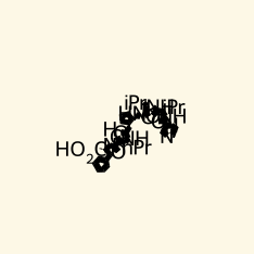 CCCC(NC(=O)C[C@H]1CCC[C@H]1CNC(=O)C(NC(=O)[C@H](NC(=O)c1cnccn1)C(C)C)C(C)C)C(=O)C(=O)N[C@H](Cc1ccccc1)C(=O)O